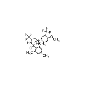 COc1ccc(NCC(NS(=O)(=O)c2c(C)cc(C)cc2C)C(F)(F)F)cc1C(F)(F)F